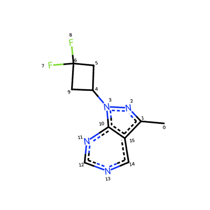 Cc1nn(C2CC(F)(F)C2)c2ncncc12